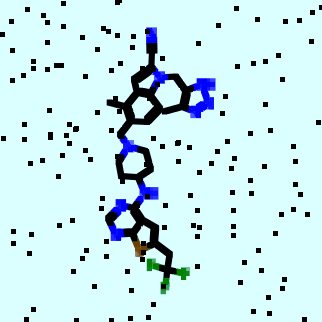 Cc1nn[nH]c1Cn1c(C#N)cc2c(C)c(CN3CCC(Nc4ncnc5sc(CC(F)(F)F)cc45)CC3)ccc21